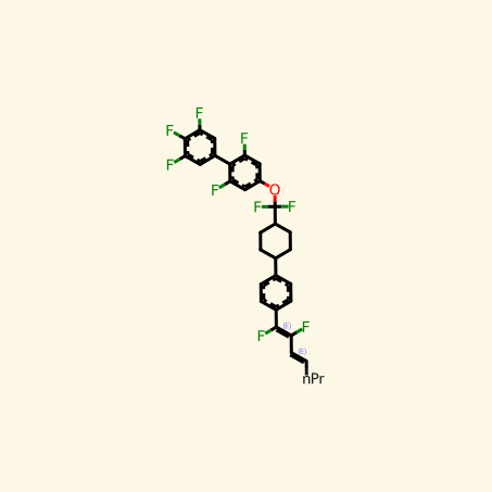 CCC/C=C/C(F)=C(\F)c1ccc(C2CCC(C(F)(F)Oc3cc(F)c(-c4cc(F)c(F)c(F)c4)c(F)c3)CC2)cc1